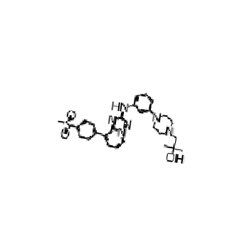 CC(C)(O)CN1CCN(c2cccc(Nc3nc4c(-c5ccc(S(C)(=O)=O)cc5)cccn4n3)c2)CC1